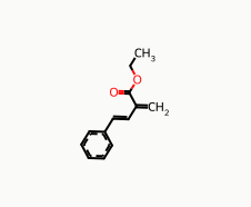 C=C(C=Cc1ccccc1)C(=O)OCC